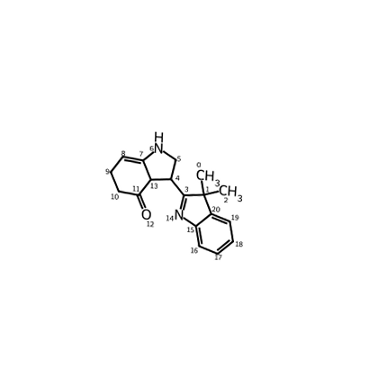 CC1(C)C(C2CNC3=CCCC(=O)C32)=Nc2ccccc21